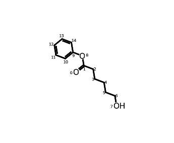 O=C(CCCCCO)Oc1ccccc1